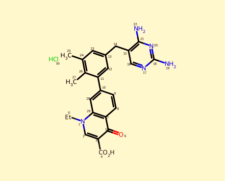 CCn1cc(C(=O)O)c(=O)c2ccc(-c3cc(Cc4cnc(N)nc4N)cc(C)c3C)cc21.Cl